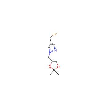 CC1(C)OCC(Cn2cc(CBr)cn2)O1